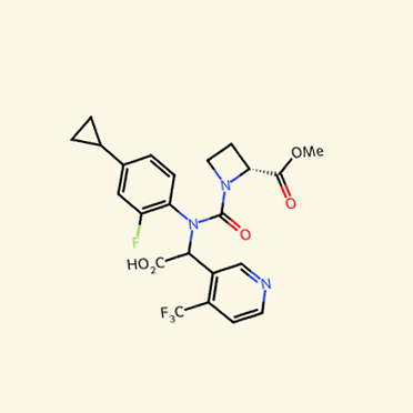 COC(=O)[C@H]1CCN1C(=O)N(c1ccc(C2CC2)cc1F)C(C(=O)O)c1cnccc1C(F)(F)F